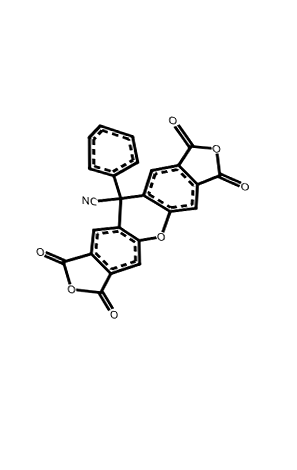 N#CC1(c2ccccc2)c2cc3c(cc2Oc2cc4c(cc21)C(=O)OC4=O)C(=O)OC3=O